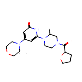 C[C@@H]1COCCN1c1cc(N2CCN(C(=O)C3CCCO3)CC2C(F)(F)F)[nH]c(=O)c1